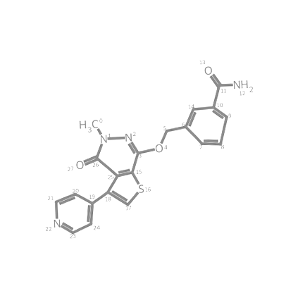 Cn1nc(OCc2cccc(C(N)=O)c2)c2scc(-c3ccncc3)c2c1=O